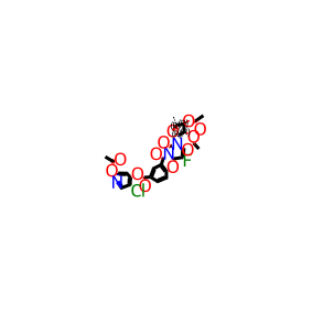 CC(=O)Oc1cc(OC(=O)c2cccc(C(=O)n3c(=O)c(F)cn([C@@H]4O[C@H](C)[C@@H](OC(C)=O)[C@H]4OC(C)=O)c3=O)c2)c(Cl)cn1